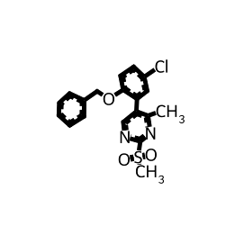 Cc1nc(S(C)(=O)=O)ncc1-c1cc(Cl)ccc1OCc1ccccc1